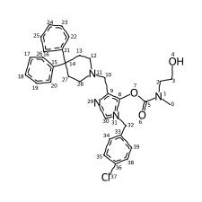 CN(CCO)C(=O)Oc1c(CN2CCC(c3ccccc3)(c3ccccc3)CC2)ncn1Cc1ccc(Cl)cc1